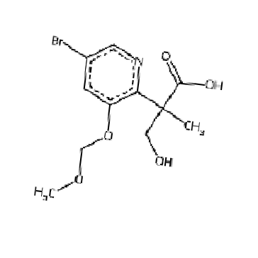 COCOc1cc(Br)cnc1C(C)(CO)C(=O)O